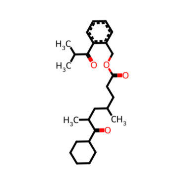 CC(CCC(=O)OCc1ccccc1C(=O)C(C)C)CC(C)C(=O)C1CCCCC1